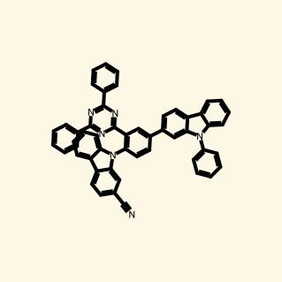 N#Cc1ccc2c3ccccc3n(-c3ccc(-c4ccc5c6ccccc6n(-c6ccccc6)c5c4)cc3-c3nc(-c4ccccc4)nc(-c4ccccc4)n3)c2c1